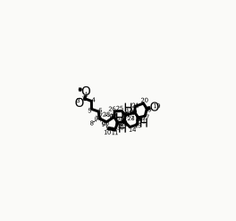 COC(=O)CCC[C@@H](C)[C@H]1C=C[C@H]2[C@@H]3CC[C@H]4CC(=O)CC[C@]4(C)[C@H]3CC[C@]12C